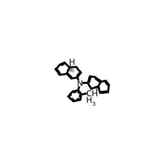 Cc1ccccc1N(C1=CC[C@@H]2C=CC=CC2=C1)C1=CC=C2C=CC=C[C@H]2C1